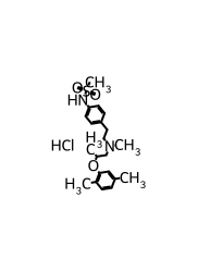 Cc1ccc(C)c(OC(C)CN(C)CCc2ccc(NS(C)(=O)=O)cc2)c1.Cl